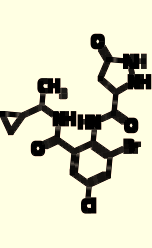 CC(NC(=O)c1cc(Cl)cc(Br)c1NC(=O)C1CC(=O)NN1)C1CC1